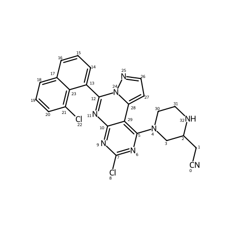 N#CCC1CN(c2nc(Cl)nc3nc(-c4cccc5cccc(Cl)c45)n4nccc4c23)CCN1